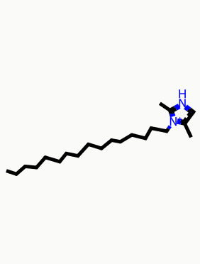 CCCCCCCCCCCCCCCC[n+]1c(C)c[nH]c1C